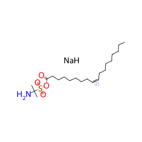 CCCCCCCC/C=C\CCCCCCCC(=O)OS(=O)(=O)C(C)(C)N.[NaH]